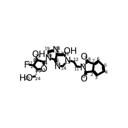 O=C1c2ccccc2C(=O)N1CCN1CN=c2c(ncn2[C@@H]2O[C@H](CO)C(F)[C@H]2O)=C1O